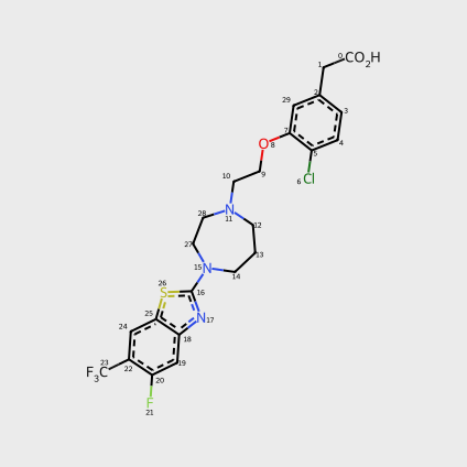 O=C(O)Cc1ccc(Cl)c(OCCN2CCCN(c3nc4cc(F)c(C(F)(F)F)cc4s3)CC2)c1